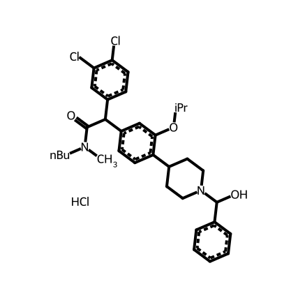 CCCCN(C)C(=O)C(c1ccc(Cl)c(Cl)c1)c1ccc(C2CCN(C(O)c3ccccc3)CC2)c(OC(C)C)c1.Cl